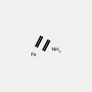 C=C.C=C.N.[Fe]